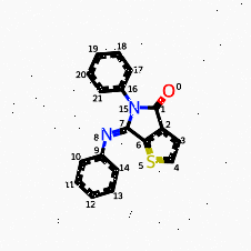 O=C1c2ccsc2/C(=N\c2ccccc2)N1c1ccccc1